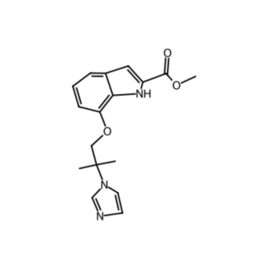 COC(=O)c1cc2cccc(OCC(C)(C)n3ccnc3)c2[nH]1